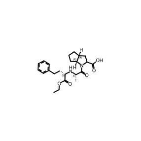 CCOC(=O)[C@H](CCc1ccccc1)N[C@@H](C)C(=O)N1C(C(=O)O)C[C@H]2CCC[C@H]21